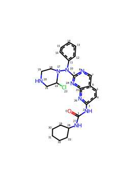 O=C(Nc1ccc2cnc(N(c3ccccc3)N3CCNCC3Cl)nc2n1)NC1CCCCC1